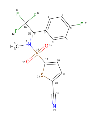 CN([C@@H](c1ccc(F)cc1)C(F)(F)F)S(=O)(=O)c1ccc(C#N)s1